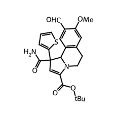 COc1cc2c(cc1C=O)C1N(CC2)C(C(=O)OC(C)(C)C)=CC1(C(N)=O)c1cccs1